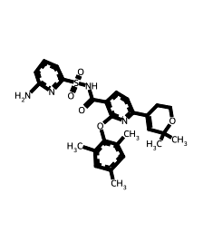 Cc1cc(C)c(Oc2nc(C3=CC(C)(C)OCC3)ccc2C(=O)NS(=O)(=O)c2cccc(N)n2)c(C)c1